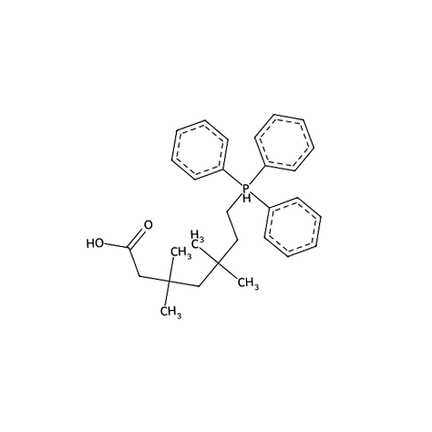 CC(C)(CC[PH](c1ccccc1)(c1ccccc1)c1ccccc1)CC(C)(C)CC(=O)O